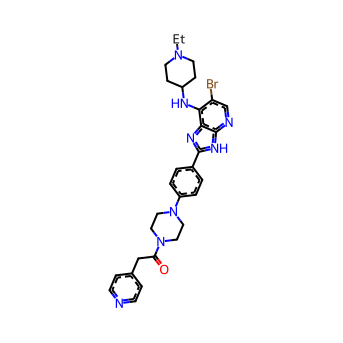 CCN1CCC(Nc2c(Br)cnc3[nH]c(-c4ccc(N5CCN(C(=O)Cc6ccncc6)CC5)cc4)nc23)CC1